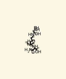 C[C@@H](O)[C@H](NC[C@@](C=O)(CCCCNC(O)CNS)NI)C(N)=O